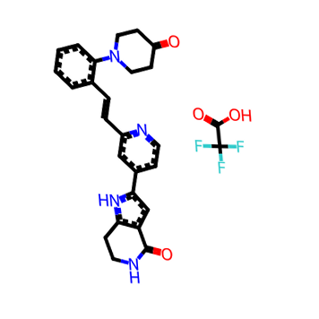 O=C(O)C(F)(F)F.O=C1CCN(c2ccccc2/C=C/c2cc(-c3cc4c([nH]3)CCNC4=O)ccn2)CC1